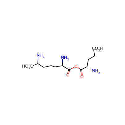 NC(CCCC(N)C(=O)OC(=O)[C@@H](N)CCC(=O)O)C(=O)O